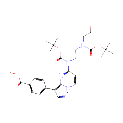 COC(=O)c1ccc(-c2cnn3ccc(N(CCN(CCO)C(=O)OC(C)(C)C)C(=O)OC(C)(C)C)nc23)cc1O